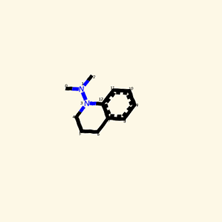 CN(C)N1CCCc2ccccc21